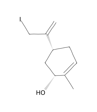 C=C(CI)[C@@H]1CC=C(C)[C@H](O)C1